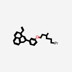 C=Cc1ccc2cccc3c2c1C=C(c1cccc(OCCC(C)CCCC(C)C)c1)C3